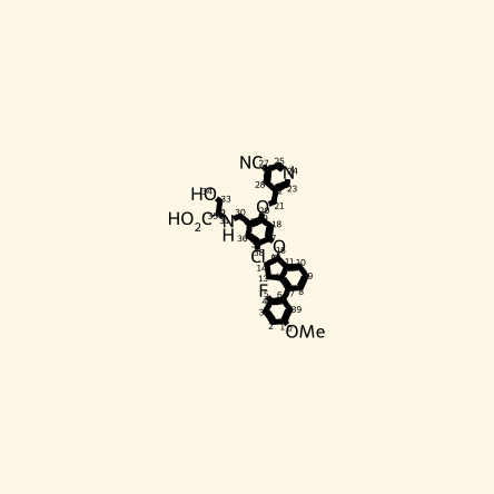 COc1ccc(F)c(-c2cccc3c2CC[C@@H]3Oc2cc(OCc3cncc(C#N)c3)c(CN[C@@H](CO)C(=O)O)cc2Cl)c1